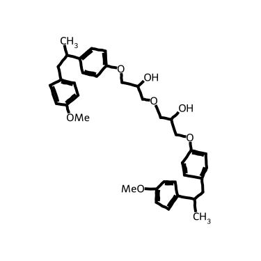 COc1ccc(CC(C)c2ccc(OCC(O)COCC(O)COc3ccc(CC(C)c4ccc(OC)cc4)cc3)cc2)cc1